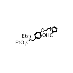 CCOC(=O)C(Cc1ccc(OCCn2cccc2C=O)cc1)OCC